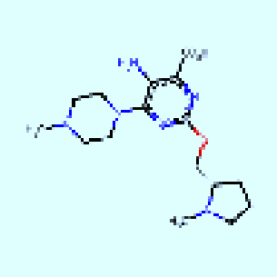 CN1CCN(c2nc(OC[C@@H]3CCCN3C)nc(C(=O)O)c2N)CC1